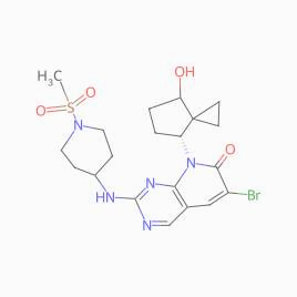 CS(=O)(=O)N1CCC(Nc2ncc3cc(Br)c(=O)n([C@@H]4CCC(O)C45CC5)c3n2)CC1